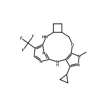 Cn1nc(C2CC2)c2c1OCC1CCC1Nc1nc(ncc1C(F)(F)F)N2